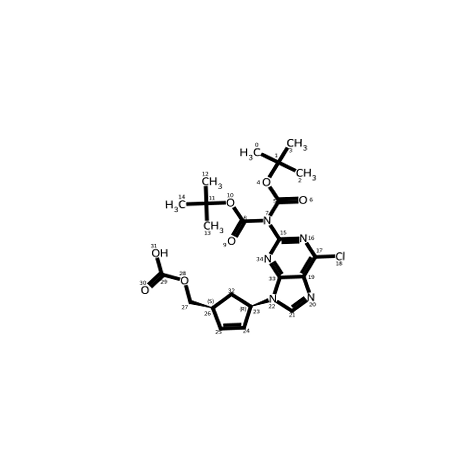 CC(C)(C)OC(=O)N(C(=O)OC(C)(C)C)c1nc(Cl)c2ncn([C@H]3C=C[C@@H](COC(=O)O)C3)c2n1